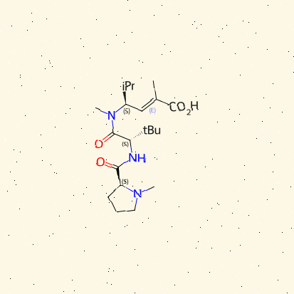 C/C(=C\[C@H](C(C)C)N(C)C(=O)[C@@H](NC(=O)[C@@H]1CCCN1C)C(C)(C)C)C(=O)O